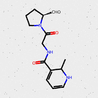 CC1NC=CC=C1C(=O)NCC(=O)N1CCC[C@H]1C=O